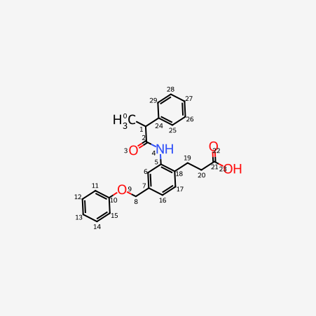 CC(C(=O)Nc1cc(COc2ccccc2)ccc1CCC(=O)O)c1ccccc1